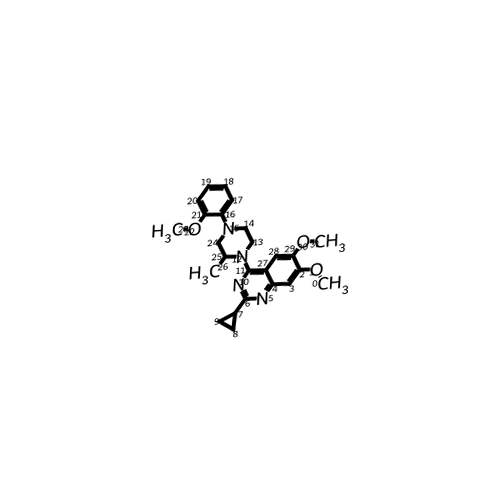 COc1cc2nc(C3CC3)nc(N3CCN(c4ccccc4OC)CC3C)c2cc1OC